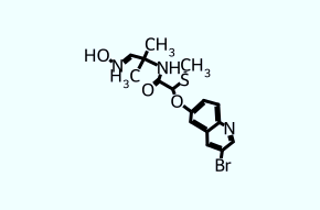 CSC(Oc1ccc2ncc(Br)cc2c1)C(=O)NC(C)(C)C=NO